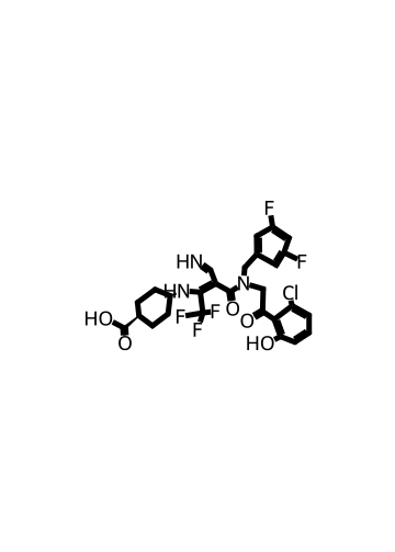 N=C/C(C(=O)N(CC(=O)c1c(O)cccc1Cl)Cc1cc(F)cc(F)c1)=C(\N[C@H]1CC[C@H](C(=O)O)CC1)C(F)(F)F